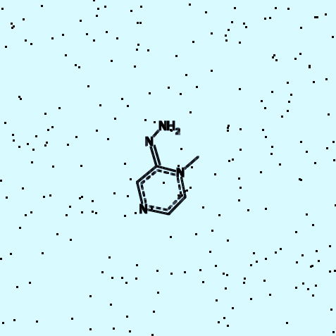 Cn1ccncc1=NN